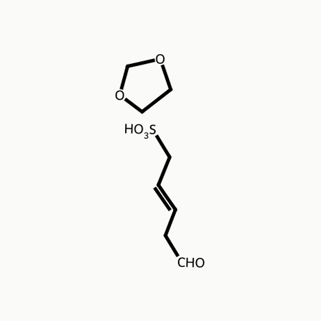 C1COCO1.O=CCC=CCS(=O)(=O)O